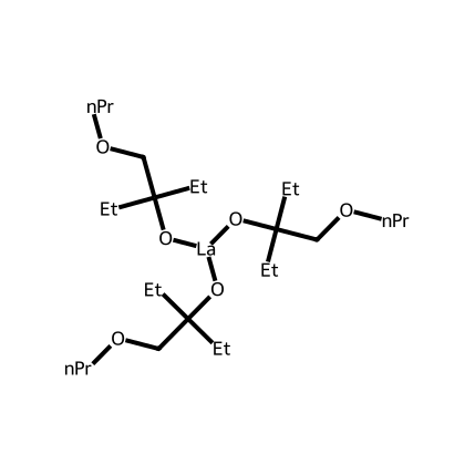 CCCOCC(CC)(CC)[O][La]([O]C(CC)(CC)COCCC)[O]C(CC)(CC)COCCC